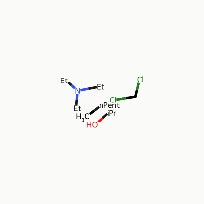 CC(C)O.CCCCCC.CCN(CC)CC.ClCCl